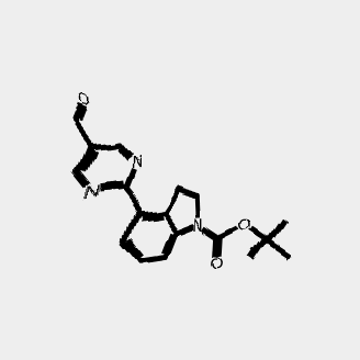 CC(C)(C)OC(=O)N1CCc2c(-c3ncc(C=O)cn3)cccc21